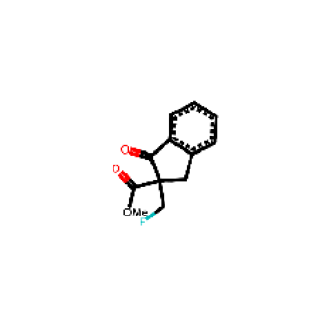 COC(=O)C1(CF)Cc2ccccc2C1=O